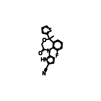 CC1(c2cccs2)OCC(=O)N(c2ccc(C#N)[nH]2)c2c(F)cccc21